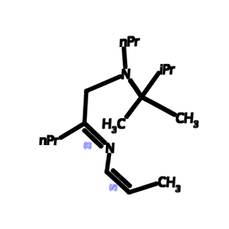 C/C=C\N=C(/CCC)CN(CCC)C(C)(C)C(C)C